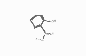 CCOC(=O)N(c1ccccc1C#N)C(F)(F)F